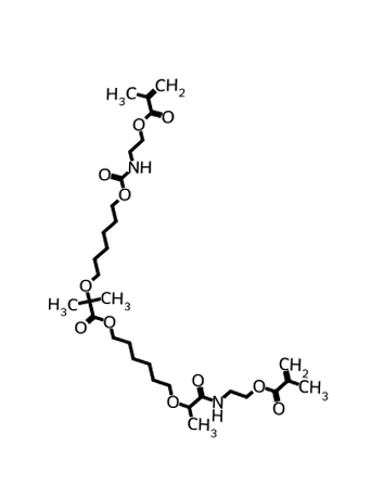 C=C(C)C(=O)OCCNC(=O)OCCCCCCOC(C)(C)C(=O)OCCCCCCOC(C)C(=O)NCCOC(=O)C(=C)C